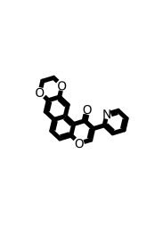 O=c1c(-c2ccccn2)coc2ccc3cc4c(cc3c12)OCCO4